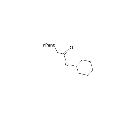 CCCCC[CH]C(=O)OC1CCCCC1